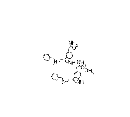 CN(CCc1c[nH]c2ccc(CC(N)=O)cc12)Cc1ccccc1.CN(CCc1c[nH]c2ccc(CC(N)=O)cc12)Cc1ccccc1.O